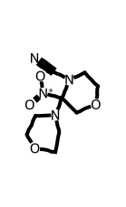 N#CN1CCOCC1(N1CCOCC1)[N+](=O)[O-]